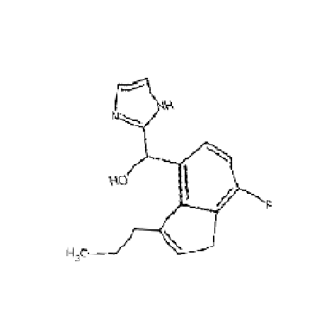 CCCC1=CCc2c(F)ccc(C(O)c3ncc[nH]3)c21